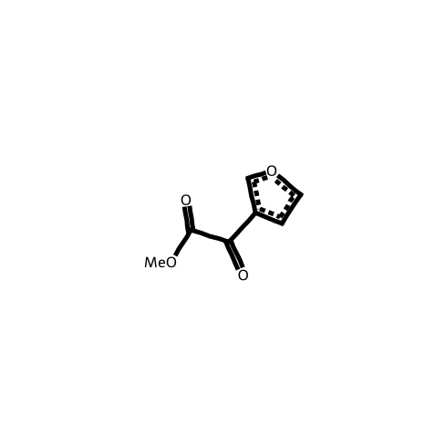 COC(=O)C(=O)c1ccoc1